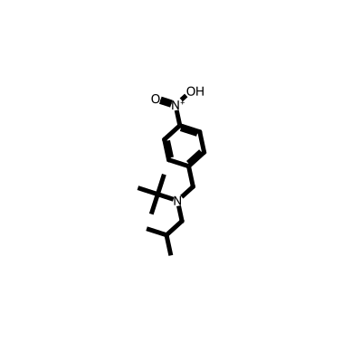 CC(C)CN(Cc1ccc([N+](=O)O)cc1)C(C)(C)C